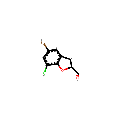 O=CC1Cc2cc(Br)cc(Cl)c2O1